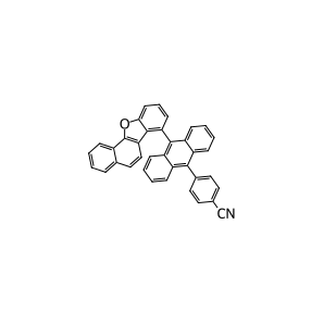 N#Cc1ccc(-c2c3ccccc3c(-c3cccc4oc5c6ccccc6ccc5c34)c3ccccc23)cc1